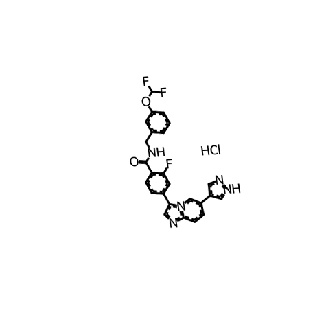 Cl.O=C(NCc1cccc(OC(F)F)c1)c1ccc(-c2cnc3ccc(-c4cn[nH]c4)cn23)cc1F